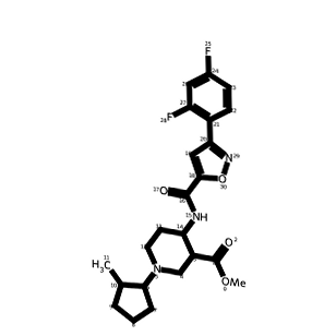 COC(=O)C1CN(C2CCCC2C)CCC1NC(=O)c1cc(-c2ccc(F)cc2F)no1